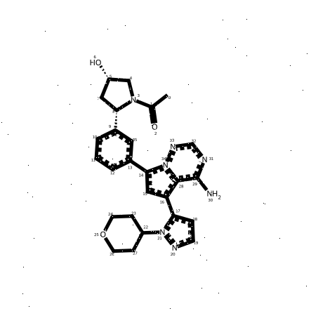 CC(=O)N1C[C@@H](O)C[C@H]1c1cccc(-c2cc(-c3ccnn3C3CCOCC3)c3c(N)ncnn23)c1